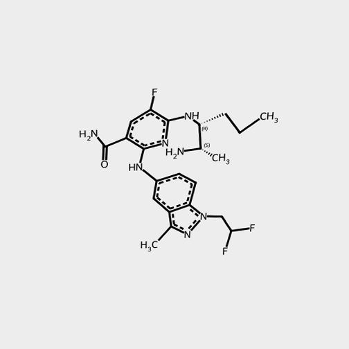 CCC[C@@H](Nc1nc(Nc2ccc3c(c2)c(C)nn3CC(F)F)c(C(N)=O)cc1F)[C@H](C)N